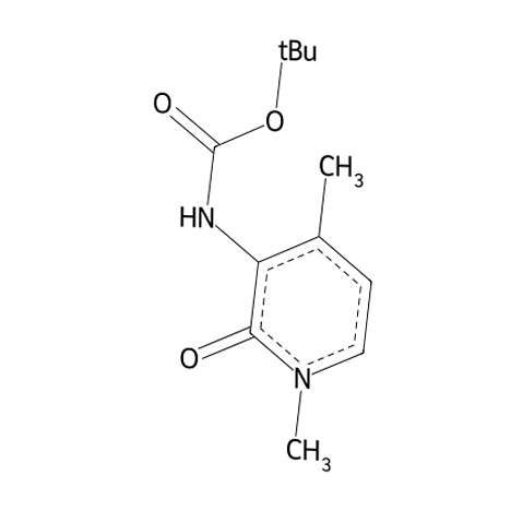 Cc1ccn(C)c(=O)c1NC(=O)OC(C)(C)C